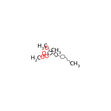 C=COC(=O)Oc1cc(COC)c(C)c(-c2ccc(C3CCC(CCCCC)CC3)cc2)c1